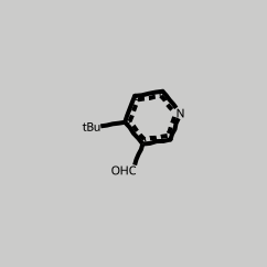 CC(C)(C)c1ccncc1C=O